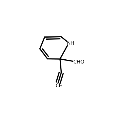 C#CC1(C=O)C=CC=CN1